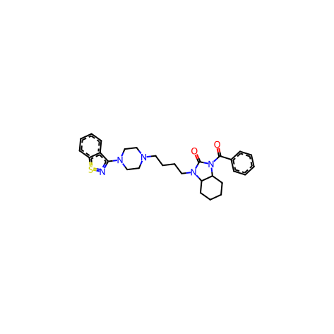 O=C(c1ccccc1)N1C(=O)N(CCCCN2CCN(c3nsc4ccccc34)CC2)C2CCCCC21